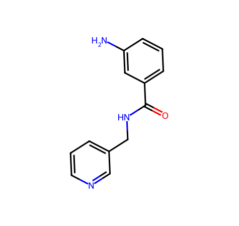 Nc1cccc(C(=O)NCc2cccnc2)c1